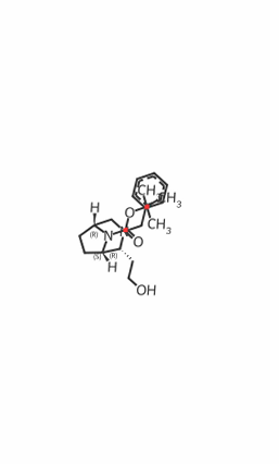 CC(C)(C)OC(=O)N1[C@@H]2CC[C@H]1[C@@H](CCO)N(Cc1ccccc1)C2